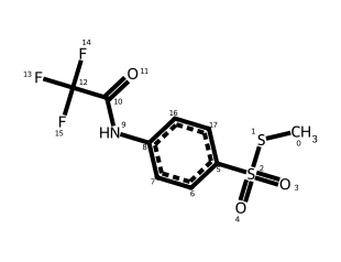 CSS(=O)(=O)c1ccc(NC(=O)C(F)(F)F)cc1